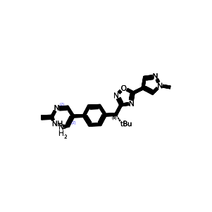 C=C(N)/N=C\C(=C/N)c1ccc([C@H](c2noc(-c3cnn(C)c3)n2)C(C)(C)C)cc1